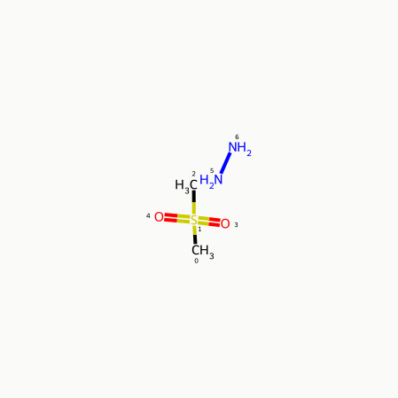 CS(C)(=O)=O.NN